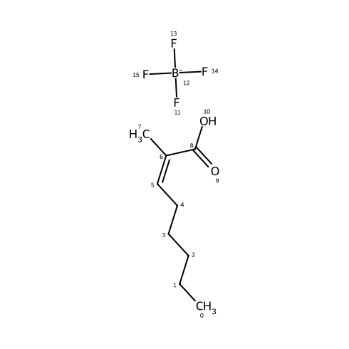 CCCCCC=C(C)C(=O)O.F[B-](F)(F)F